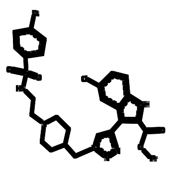 CCc1ccc(S(=O)(=O)NCCN2CCC(Cn3cc(-c4c(C(=O)OC(C)C)[nH]c5ccc(Cl)cc45)nn3)CC2)cc1